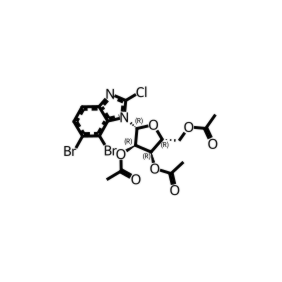 CC(=O)OC[C@H]1O[C@@H](n2c(Cl)nc3ccc(Br)c(Br)c32)[C@H](OC(C)=O)[C@@H]1OC(C)=O